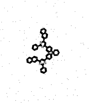 c1ccc(-c2nc(-c3ccc(C4(c5ccc(-c6cc(-c7ccc8ccccc8c7)nc(-c7ccccc7)n6)cc5)CCCCC4)cc3)cc(-c3ccc4ccccc4c3)n2)cc1